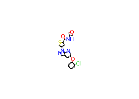 O=C(NC1COC1)c1cc(-n2ncc3cc(Oc4ccccc4Cl)cnc32)cs1